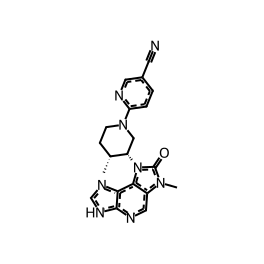 C[C@@H]1CCN(c2ccc(C#N)cn2)C[C@@H]1n1c(=O)n(C)c2cnc3[nH]cnc3c21